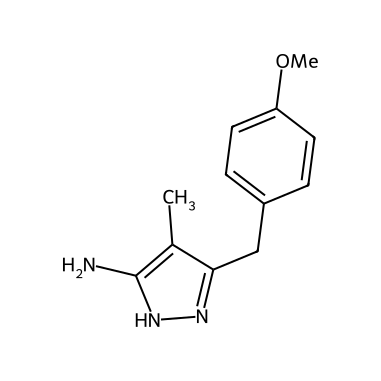 COc1ccc(Cc2n[nH]c(N)c2C)cc1